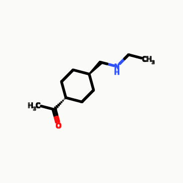 CCNC[C@H]1CC[C@H](C(C)=O)CC1